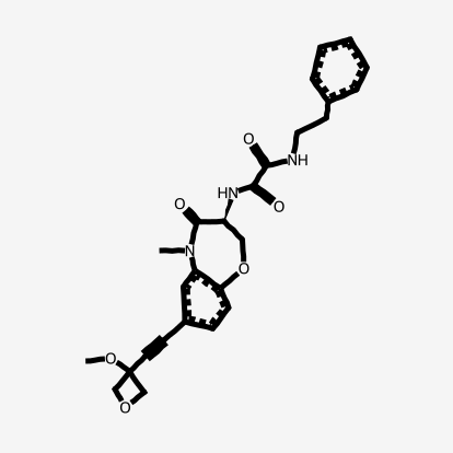 COC1(C#Cc2ccc3c(c2)N(C)C(=O)[C@@H](NC(=O)C(=O)NCCc2ccccc2)CO3)COC1